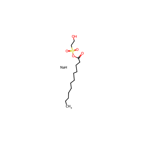 CCCCCCCCCCCC(=O)OS(=O)(=O)CCO.[NaH]